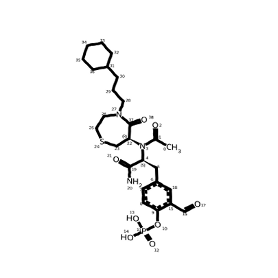 CC(=O)N([C@@H](Cc1ccc(OP(=O)(O)O)c(C=O)c1)C(N)=O)[C@H]1CSCCN(CCCC2CCCCC2)C1=O